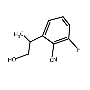 C[C](CO)c1cccc(F)c1C#N